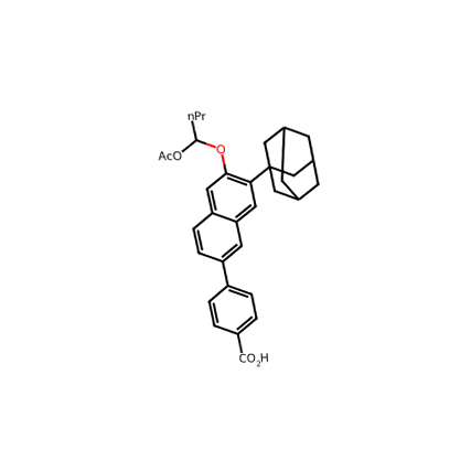 CCCC(OC(C)=O)Oc1cc2ccc(-c3ccc(C(=O)O)cc3)cc2cc1C12CC3CC(CC(C3)C1)C2